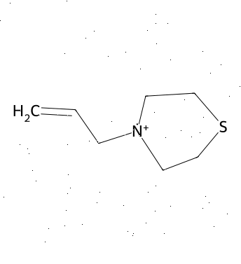 C=CC[N+]1CCSCC1